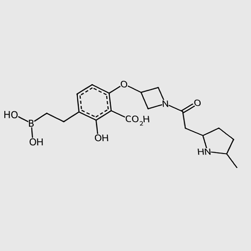 CC1CCC(CC(=O)N2CC(Oc3ccc(CCB(O)O)c(O)c3C(=O)O)C2)N1